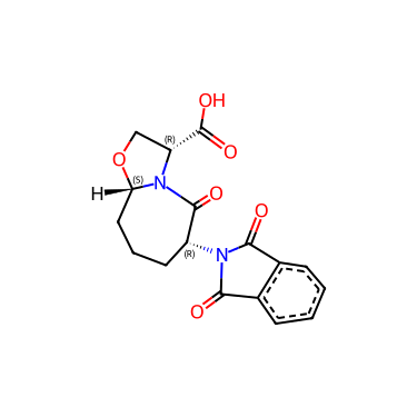 O=C(O)[C@H]1CO[C@H]2CCC[C@@H](N3C(=O)c4ccccc4C3=O)C(=O)N21